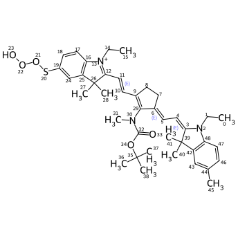 CCN1/C(=C/C=C2\CCC(/C=C/C3=[N+](CC)c4ccc(SOOO)cc4C3(C)C)=C2N(C)C(=O)OC(C)(C)C)C(C)(C)c2cc(C)ccc21